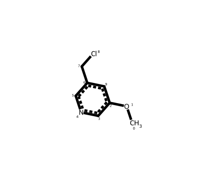 COc1cncc(CCl)c1